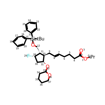 CC(C)OC(=O)CCCC=CC[C@@H]1[C@@H](CO[Si](c2ccccc2)(c2ccccc2)C(C)(C)C)[C@@H](F)C[C@H]1OC1CCCCO1